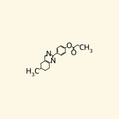 CCC(=O)Oc1ccc(-c2ncc3c(n2)CCC(C)C3)cc1